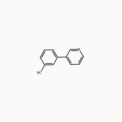 N#Cc1cccc(-c2cc[c]nc2)c1